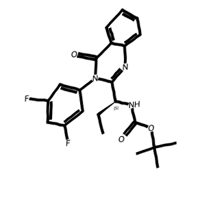 CC[C@H](NC(=O)OC(C)(C)C)c1nc2ccccc2c(=O)n1-c1cc(F)cc(F)c1